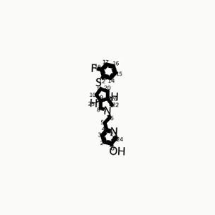 Oc1ccc(CCN2C[C@H]3C[C@H](Sc4ccccc4F)C[C@H]3C2)nc1